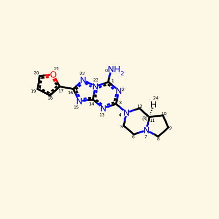 Nc1nc(N2CCN3CCC[C@@H]3C2)nc2nc(-c3ccco3)nn12